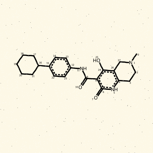 CN1CCc2[nH]c(=O)c(C(=O)Nc3ccc(C4CCCCC4)cc3)c(O)c2C1